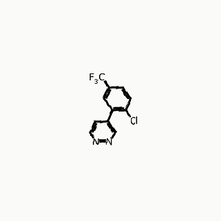 FC(F)(F)c1ccc(Cl)c(-c2ccnnc2)c1